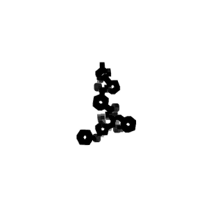 Cc1csc(C2CCCN2C(=O)c2cccc(C(=O)N[C@@H](Cc3ccccc3)[C@H](O)[C@H]3C[C@@H](Oc4ccccc4)CN3)c2)n1